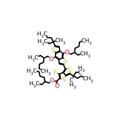 CCCCC(CC)COC(=O)c1sc2c(C(C)(CC)CCC)sc(-c3cc4c(OCC(CC)CCCC)c5sc(C(C)(CC)CCC)cc5c(OCC(CC)CCCC)c4s3)c2c1F